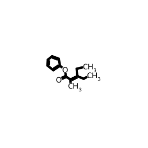 CCC(CC)=C(C)C(=O)Oc1ccccc1